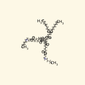 CCCCC/C=C\CCOC(=O)CCCCC(=O)OCC(CO)(COC(=O)CCCCC(=O)OCC/C=C\CCCCC)COC(=O)CCC(OCCCCCCCC)OCCCCCCCC